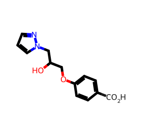 O=C(O)c1ccc(OCC(O)Cn2cccn2)cc1